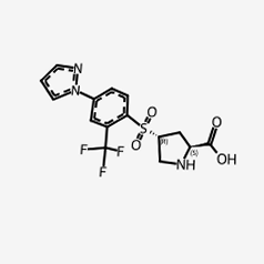 O=C(O)[C@@H]1C[C@@H](S(=O)(=O)c2ccc(-n3cccn3)cc2C(F)(F)F)CN1